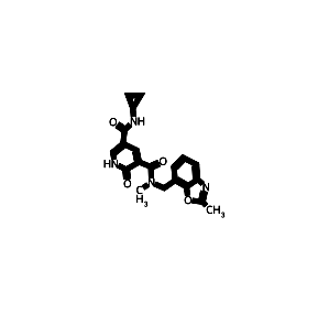 Cc1nc2cccc(CN(C)C(=O)c3cc(C(=O)NC4CC4)c[nH]c3=O)c2o1